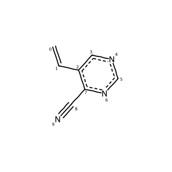 C=Cc1cncnc1C#N